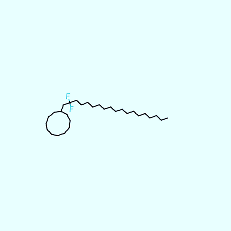 CCCCCCCCCCCCCCCCCC(F)(F)CC1CCCCCCCCCC1